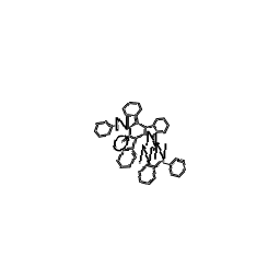 c1ccc(-c2nc(-n3c4ccccc4c4c5c6ccccc6n(-c6ccccc6)c5c5oc6ccccc6c5c43)nc3ccccc23)cc1